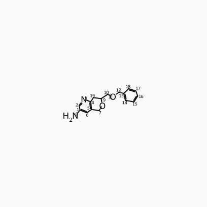 Nc1cnc2c(c1)COC(COCc1ccccc1)C2